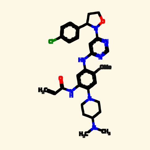 C=CC(=O)Nc1cc(Nc2cc(N3OCCC3c3ccc(Cl)cc3)ncn2)c(OC)cc1N1CCC(N(C)C)CC1